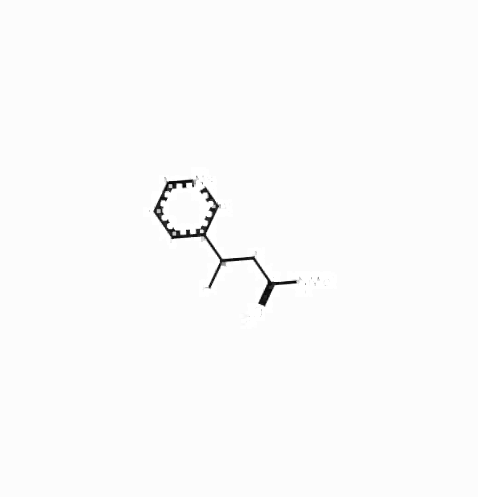 CNC(=O)CC(C)c1cccnc1